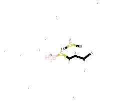 BSCCCC.CSC